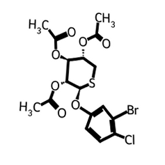 CC(=O)O[C@@H]1[C@@H](OC(C)=O)[C@H](OC(C)=O)CS[C@H]1Oc1ccc(Cl)c(Br)c1